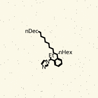 CCCCCCCCCCCCCCCCCC[C@H](CCCCCC)c1ccccc1C(CC)n1ccnc1